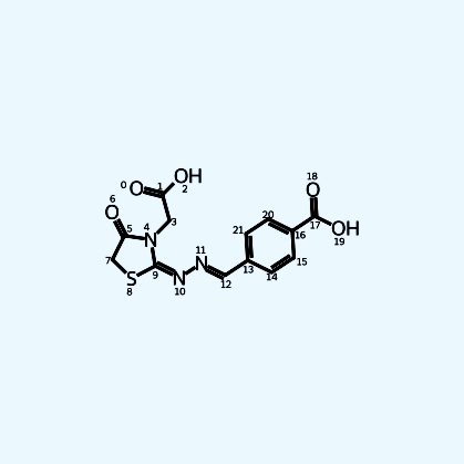 O=C(O)CN1C(=O)CSC1=NN=Cc1ccc(C(=O)O)cc1